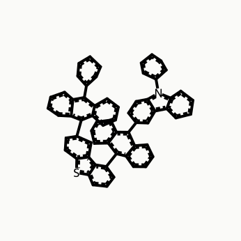 c1ccc(-c2c3ccccc3c(-c3ccc4sc5cccc(-c6c7ccccc7c(-c7ccc8c(c7)c7ccccc7n8-c7ccccc7)c7ccccc67)c5c4c3)c3ccccc23)cc1